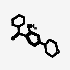 Nc1cc(N2CCOCC2)ccc1C(=O)N1CCCCC1